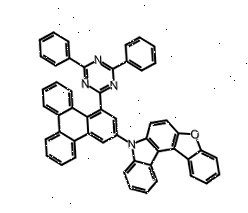 c1ccc(-c2nc(-c3ccccc3)nc(-c3cc(-n4c5ccccc5c5c6c(ccc54)oc4ccccc46)cc4c5ccccc5c5ccccc5c34)n2)cc1